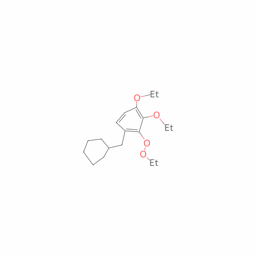 CCOOc1c(CC2CCCCC2)ccc(OCC)c1OCC